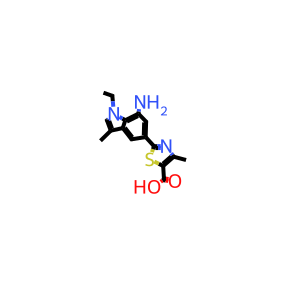 CCn1cc(C)c2cc(-c3nc(C)c(C(=O)O)s3)cc(N)c21